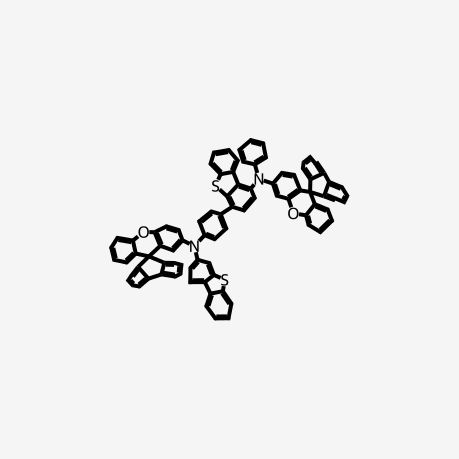 c1ccc(N(c2ccc3c(c2)Oc2ccccc2C32c3ccccc3-c3ccccc32)c2ccc(-c3ccc(N(c4ccc5c(c4)C4(c6ccccc6O5)c5ccccc5-c5ccccc54)c4ccc5c(c4)sc4ccccc45)cc3)c3sc4ccccc4c23)cc1